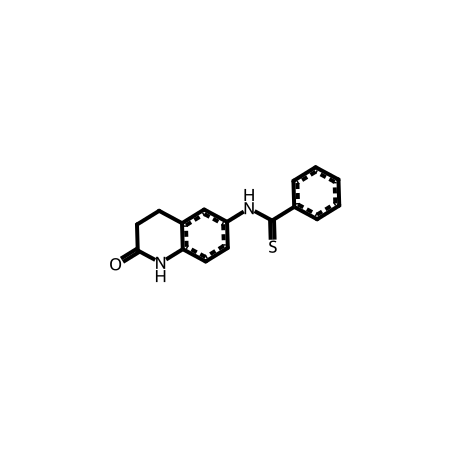 O=C1CCc2cc(NC(=S)c3ccccc3)ccc2N1